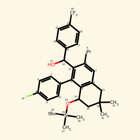 CC(C)c1cc2c(c(-c3ccc(F)cc3)c1C(O)c1ccc(C(F)(F)F)cc1)C(O[Si](C)(C)C(C)(C)C)CC(C)(C)C2